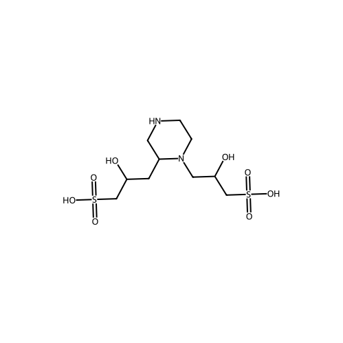 O=S(=O)(O)CC(O)CC1CNCCN1CC(O)CS(=O)(=O)O